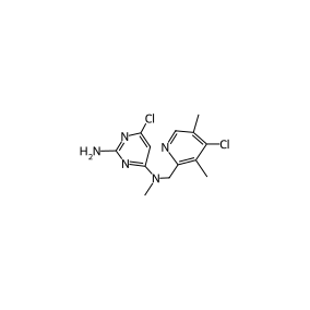 Cc1cnc(CN(C)c2cc(Cl)nc(N)n2)c(C)c1Cl